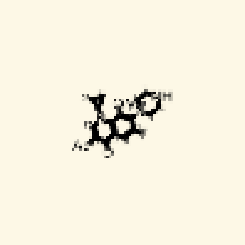 COc1c(N2CCNCC2)c(F)cc2c(=O)c(C(C)=O)cn(C3CC3)c12